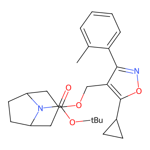 Cc1ccccc1-c1noc(C2CC2)c1COC1CC2CCC(C1)N2C(=O)OC(C)(C)C